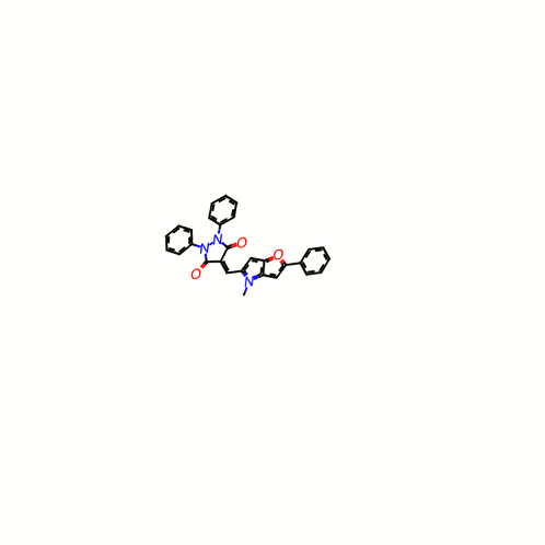 Cn1c(C=C2C(=O)N(c3ccccc3)N(c3ccccc3)C2=O)cc2oc(-c3ccccc3)cc21